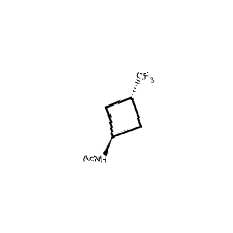 CC(=O)N[C@H]1C[C@H](C(F)(F)F)C1